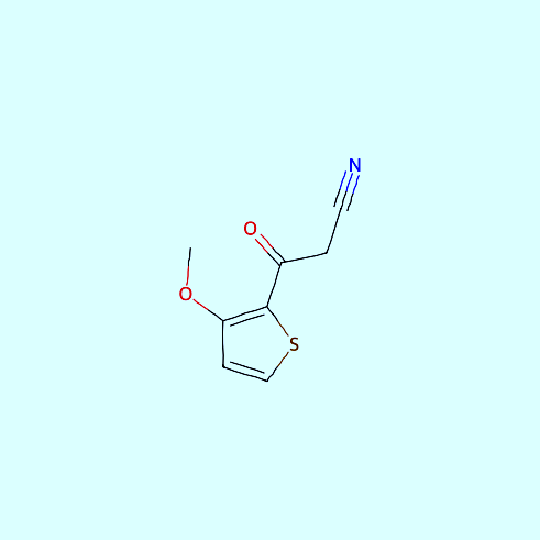 COc1ccsc1C(=O)CC#N